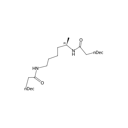 CCCCCCCCCCCC(=O)NCCCC[C@@H](C)NC(=O)CCCCCCCCCCC